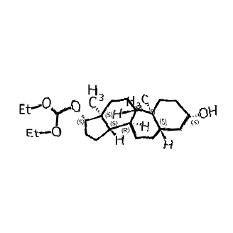 CCOC(OCC)O[C@H]1CC[C@H]2[C@@H]3CC[C@H]4C[C@@H](O)CC[C@]4(C)[C@H]3CC[C@]12C